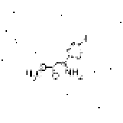 COC(=O)C[C@H](N)c1ccc(I)cc1